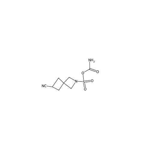 N#CC1CC2(C1)CN(S(=O)(=O)OC(N)=O)C2